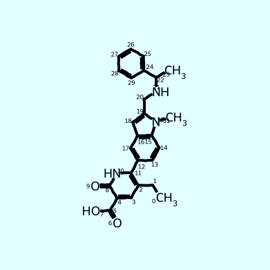 CCc1cc(C(=O)O)c(=O)[nH]c1-c1ccc2c(c1)cc(CNC(C)c1ccccc1)n2C